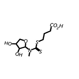 CN(C(=S)SCCCC(=O)O)C1OCC(O)C1O